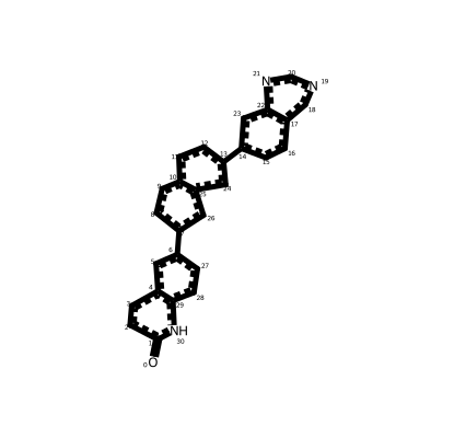 O=c1ccc2cc(-c3ccc4ccc(-c5ccc6cncnc6c5)cc4c3)ccc2[nH]1